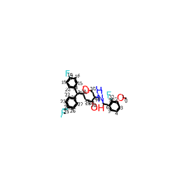 COc1cccc(CNC2COC(C(c3ccc(F)cc3)c3ccc(F)cc3)CC2O)c1F